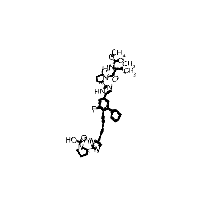 COC(=O)N[C@H](C(=O)N1CCC[C@H]1c1ncc(-c2cc(F)c(C#CC#Cc3cnc([C@@H]4CCCN4C(=O)O)[nH]3)c(-c3ccccc3)c2)[nH]1)C(C)C